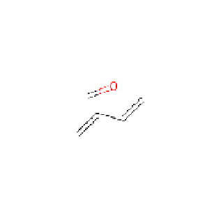 C=CC=C.C=O